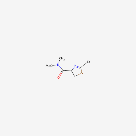 CCC1=NC(C(=O)N(C)OC)CS1